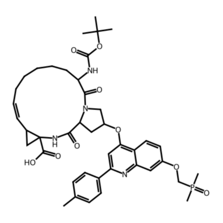 Cc1ccc(-c2cc(OC3CC4C(=O)NC5(C(=O)O)CC5/C=C\CCCCCC(NC(=O)OC(C)(C)C)C(=O)N4C3)c3ccc(OCP(C)(C)=O)cc3n2)cc1